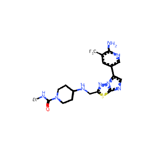 CCNC(=O)N1CCC(NCc2nn3c(-c4cnc(N)c(C(F)(F)F)c4)cnc3s2)CC1